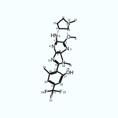 COc1nc2c(nc1N[C@@H]1CCN(C)C1)nc(-c1c(C)cc(C(F)(F)F)cc1O)n2C